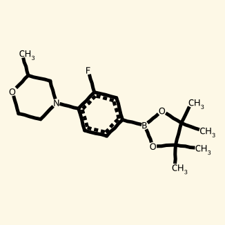 CC1CN(c2ccc(B3OC(C)(C)C(C)(C)O3)cc2F)CCO1